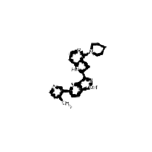 Cc1ccncc1-c1ccc2[nH]nc(-c3cc4c(N5CCCCC5)nccc4[nH]3)c2n1